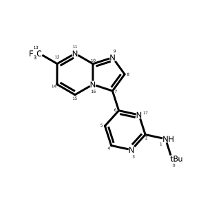 CC(C)(C)Nc1nccc(-c2cnc3nc(C(F)(F)F)ccn23)n1